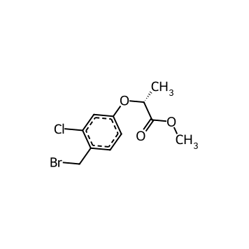 COC(=O)[C@@H](C)Oc1ccc(CBr)c(Cl)c1